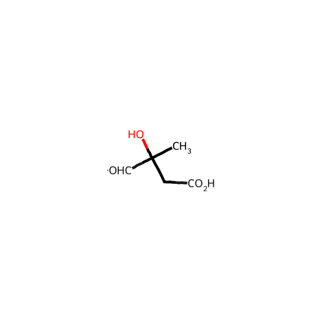 CC(O)([C]=O)CC(=O)O